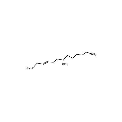 CCCCCCCCC=CCCCCCCCCN.[SnH2]